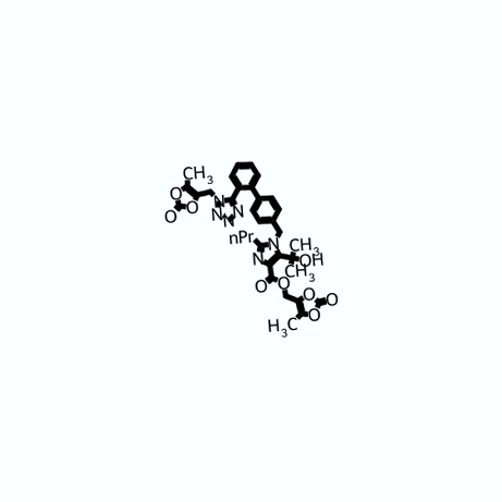 CCCc1nc(C(=O)OCc2oc(=O)oc2C)c(C(C)(C)O)n1Cc1ccc(-c2ccccc2-c2nnnn2Cc2oc(=O)oc2C)cc1